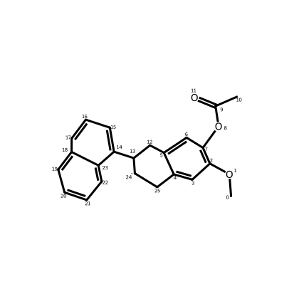 COc1cc2c(cc1OC(C)=O)CC(c1cccc3ccccc13)[CH]C2